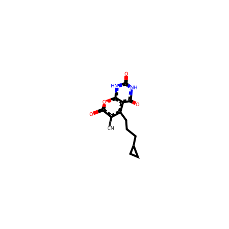 N#Cc1c(CCCC2CC2)c2c(=O)[nH]c(=O)[nH]c2oc1=O